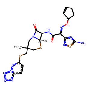 Nc1nc(C(=NOC2C=CCC2)C(=O)NC2C(=O)N3CC(CSc4ccc5nnnn5n4)(C(=O)O)CS[C@H]23)ns1